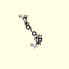 Cn1nc2cccc(C(=O)N[C@H]3CC[C@H](CCN4CCc5sc(OCC(C)(F)F)nc5C4)CC3)c2n1